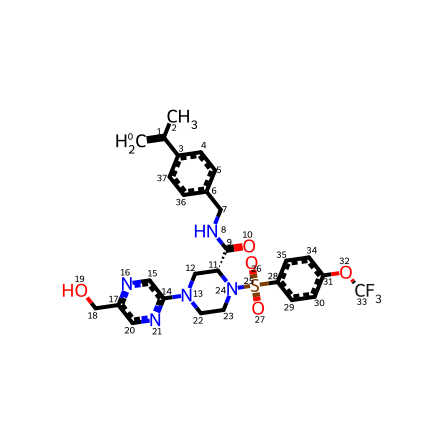 C=C(C)c1ccc(CNC(=O)[C@H]2CN(c3cnc(CO)cn3)CCN2S(=O)(=O)c2ccc(OC(F)(F)F)cc2)cc1